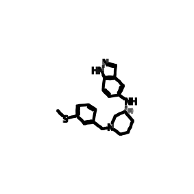 CSc1cccc(CN2CCC[C@@H](Nc3ccc4[nH]ncc4c3)C2)c1